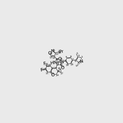 CC1=NCC(C)=C1c1ccc(NC(=O)[C@@H](NC(=O)c2conc2C(C)C)C2c3cc(F)c(F)cc3OCC23CC3)cc1